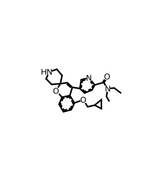 CCN(CC)C(=O)c1ccc(C2=CC3(CCNCC3)Oc3cccc(OCC4CC4)c32)cn1